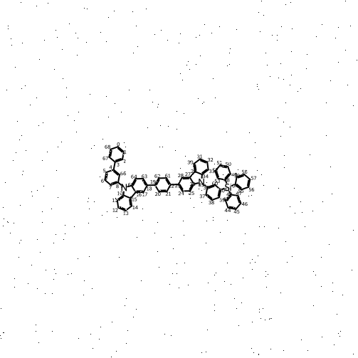 c1ccc(-c2cccc(-n3c4ccccc4c4cc(-c5ccc(-c6ccc7c(c6)c6ccccc6n7-c6cccc([Si](c7ccccc7)(c7ccccc7)c7ccccc7)c6)cc5)ccc43)c2)cc1